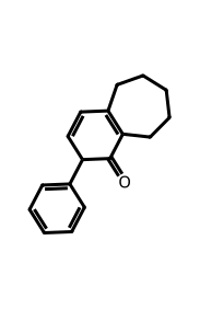 O=C1C2=C(C=CC1c1ccccc1)CCCCC2